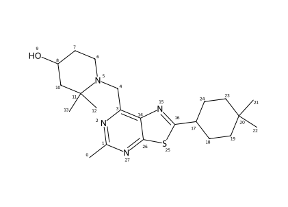 Cc1nc(CN2CCC(O)CC2(C)C)c2nc(C3CCC(C)(C)CC3)sc2n1